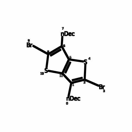 CCCCCCCCCCc1c(Br)sc2c(CCCCCCCCCC)c(Br)sc12